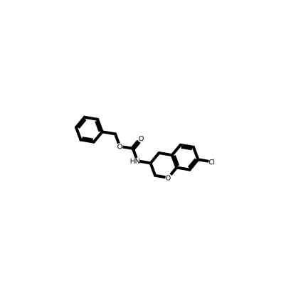 O=C(NC1COc2cc(Cl)ccc2C1)OCc1ccccc1